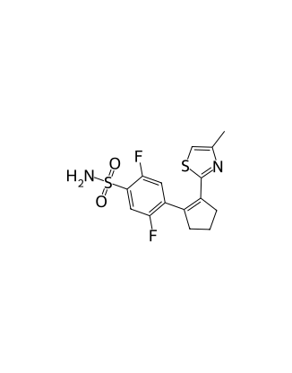 Cc1csc(C2=C(c3cc(F)c(S(N)(=O)=O)cc3F)CCC2)n1